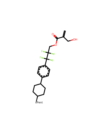 C=C(CO)C(=O)OCC(F)(F)C(F)(F)c1ccc(C2CCC(CCCCC)CC2)cc1